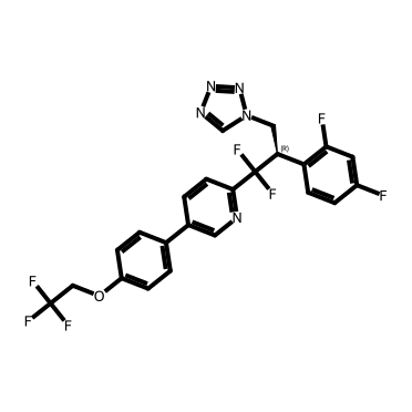 Fc1ccc([C@H](Cn2cnnn2)C(F)(F)c2ccc(-c3ccc(OCC(F)(F)F)cc3)cn2)c(F)c1